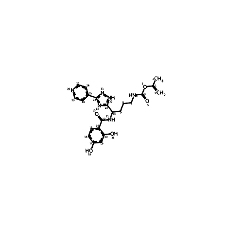 C=C(C)OC(=O)NCCCC(NC(=O)c1ccc(O)cc1O)c1nc(-c2ccncc2)n[nH]1